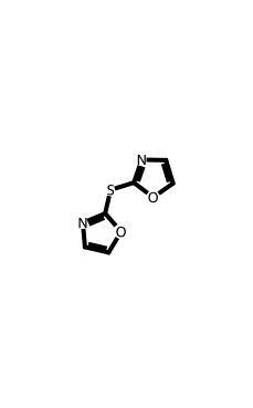 c1coc(Sc2ncco2)n1